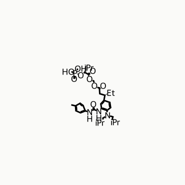 CC[C@@H](CC(=O)OCOC(=O)[C@@H](OP(=O)(O)O)C(C)C)c1ccc(N(CC(C)C)CC(C)C)c(NC(=O)Nc2ccc(C)cc2)c1